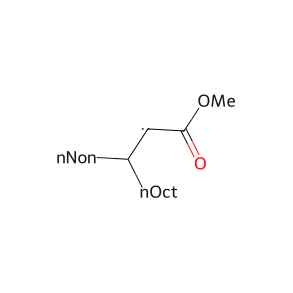 CCCCCCCCCC([CH]C(=O)OC)CCCCCCCC